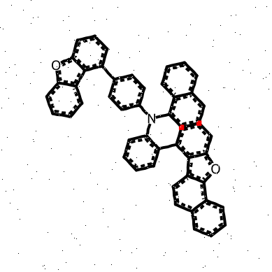 c1ccc(N(c2ccc(-c3cccc4oc5ccccc5c34)cc2)c2cccc3ccccc23)c(-c2cccc3oc4c5ccccc5ccc4c23)c1